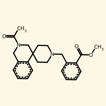 COC(=O)c1ccccc1CN1CCC2(CC1)CN(C(C)=O)Cc1ccccc12